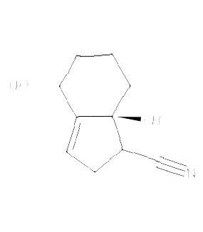 C[C@]12CCC[C@@H](O)C1=CCC2C#N